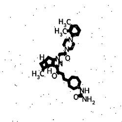 Cc1cccc(N2CCN(C(=O)Cn3nc(C(=O)CCC4CCCC(NC(N)=O)CC4)c4c3C[C@H]3CC(C)[C@@H]43)CC2)c1C